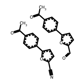 CC(=O)c1ccc(-c2ccc(C#N)o2)cc1.CC(=O)c1ccc(-c2ccc(C=O)o2)cc1